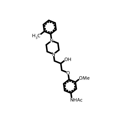 COc1cc(NC(C)=O)ccc1OCC(O)CN1CCN(c2ccccc2C)CC1